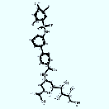 Cc1cc(S(=O)(=O)Nc2cccc(-c3ccc(C(=O)NN(CCC(=O)O)C[C@H](O)[C@@H](O)[C@H](O)[C@H](O)CO)cc3)c2)c(C)cc1Cl